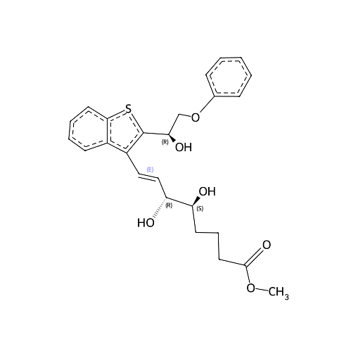 COC(=O)CCC[C@H](O)[C@H](O)/C=C/c1c([C@H](O)COc2ccccc2)sc2ccccc12